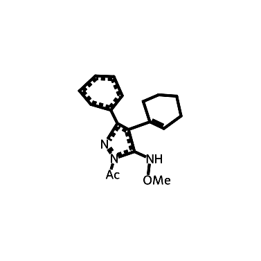 CONc1c(C2=CCCCC2)c(-c2ccccc2)nn1C(C)=O